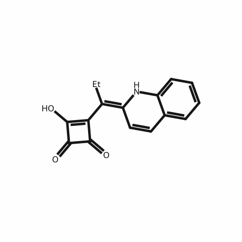 CCC(=C1C=Cc2ccccc2N1)c1c(O)c(=O)c1=O